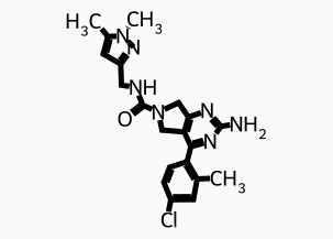 Cc1cc(Cl)ccc1-c1nc(N)nc2c1CN(C(=O)NCc1cc(C)n(C)n1)C2